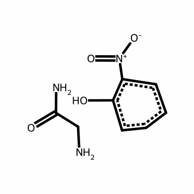 NCC(N)=O.O=[N+]([O-])c1ccccc1O